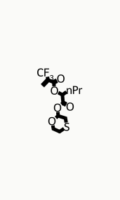 C=C(C(=O)OC(CCC)C(=O)OC1CSCCO1)C(F)(F)F